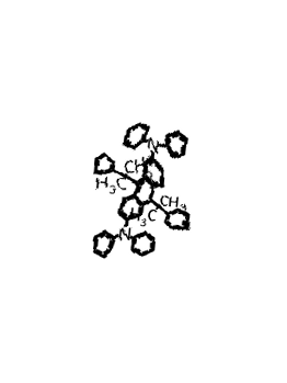 CC(C)(c1ccccc1)c1c2ccc(N(c3ccccc3)c3ccccc3)cc2c(C(C)(C)c2ccccc2)c2ccc(N(c3ccccc3)c3ccccc3)cc12